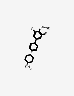 CCCCCc1c(F)cc(C2C=CC([C@H]3CC[C@H](C)CC3)=CC2)cc1F